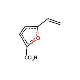 C=Cc1ccc(C(=O)O)o1